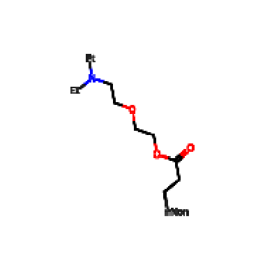 CCCCCCCCCCCC(=O)OCCOCCN(CC)CC